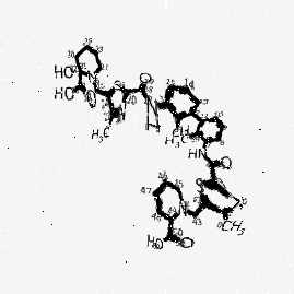 Cc1nc(C(=O)Nc2cccc(-c3cccc(NC(=O)c4nc(C)c(CN5CCCC[C@]5(O)C(=O)O)s4)c3C)c2C)sc1CN1CCCCC1C(=O)O